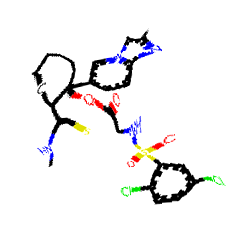 CNC(=S)C1CCCCC1(OC(=O)CNS(=O)(=O)c1cc(Cl)ccc1Cl)c1ccc2nccn2c1